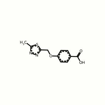 Cc1nnc(COc2ccc(C(=O)O)cc2)s1